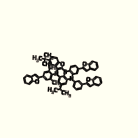 Cc1cc(-c2cc3ccccc3o2)cc(C)c1N1c2cc(C(C)C)cc3c2B(c2ccc(-c4cc5ccccc5o4)cc2N3c2cccc(-c3cc4ccccc4o3)c2)c2oc3ccc(C(C)(C)C)cc3c21